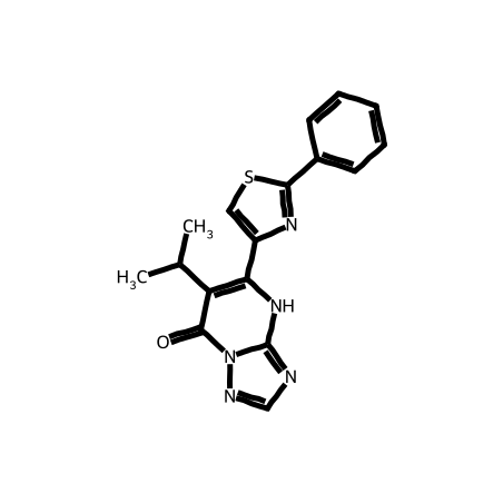 CC(C)c1c(-c2csc(-c3ccccc3)n2)[nH]c2ncnn2c1=O